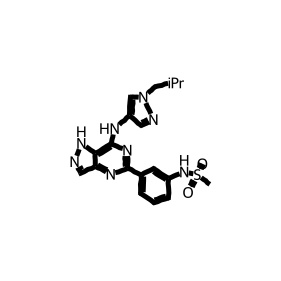 CC(C)Cn1cc(Nc2nc(-c3cccc(NS(C)(=O)=O)c3)nc3cn[nH]c23)cn1